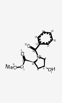 COOC(=O)[C@@H]1C[C@@H](O)CN1C(=O)c1ccccc1